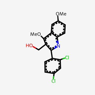 COc1ccc2nc(-c3ccc(Cl)cc3Cl)c(CO)c(OC)c2c1